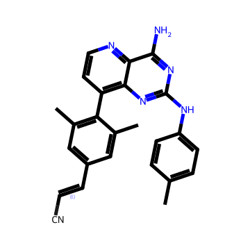 Cc1ccc(Nc2nc(N)c3nccc(-c4c(C)cc(/C=C/C#N)cc4C)c3n2)cc1